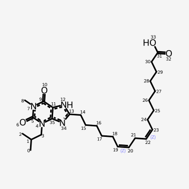 CC(C)Cn1c(=O)n(C)c(=O)c2[nH]c(CCCCC/C=C\C/C=C\CCCCCCCC(=O)O)nc21